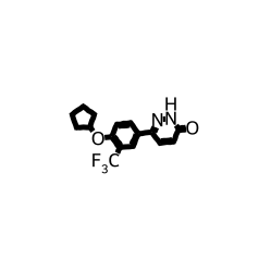 O=c1ccc(-c2ccc(OC3CCCC3)c(C(F)(F)F)c2)n[nH]1